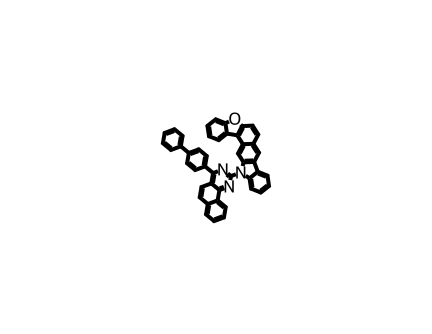 c1ccc(-c2ccc(-c3nc(-n4c5ccccc5c5cc6ccc7oc8ccccc8c7c6cc54)nc4c3ccc3ccccc34)cc2)cc1